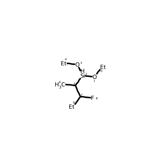 CCO[SiH](OCC)C(C)C(F)CC